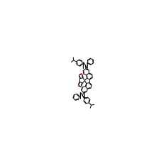 CC(C)c1ccc(N(c2ccccc2)c2ccc3c4c(ccc3c2)-c2ccc3cc(N(c5ccccc5)c5ccc(C(C)C)cc5)ccc3c2C42c3ccccc3-c3ccccc32)cc1